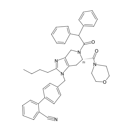 CCCCc1nc2c(n1Cc1ccc(-c3ccccc3C#N)cc1)C[C@@H](C(=O)N1CCOCC1)N(C(=O)C(c1ccccc1)c1ccccc1)C2